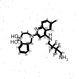 Cc1ccc2nc(N3CCS(O)(O)c4ccccc4C3)cc(NCC(F)(F)C(F)(F)CN)c2c1